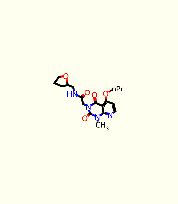 CCCOc1ccnc2c1c(=O)n(CC(=O)NCC1CCCO1)c(=O)n2C